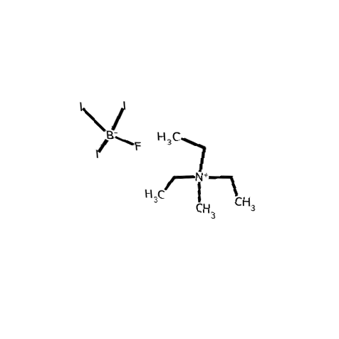 CC[N+](C)(CC)CC.F[B-](I)(I)I